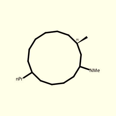 CCCC1CCCCCC[C@@H](C)CC(NC)CCCC1